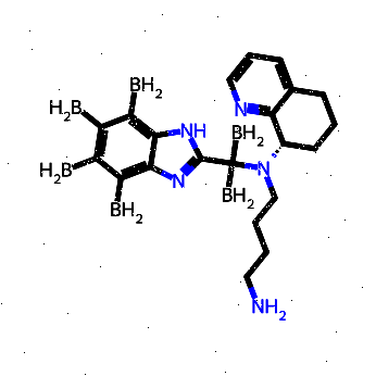 Bc1c(B)c(B)c2[nH]c(C(B)(B)N(CCCCN)[C@H]3CCCc4cccnc43)nc2c1B